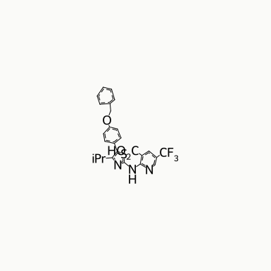 CC(C)c1nc(Nc2ncc(C(F)(F)F)cc2C(=O)O)sc1-c1ccc(OCc2ccccc2)cc1